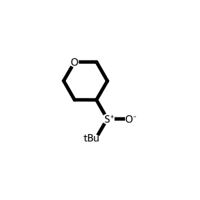 CC(C)(C)[S+]([O-])C1CCOCC1